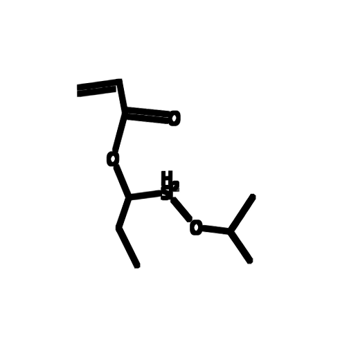 C=CC(=O)OC(CC)[SiH2]OC(C)C